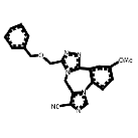 COc1ccc2c(c1)-c1nnc(COCc3ccccc3)n1Cc1c(C#N)ncn1-2